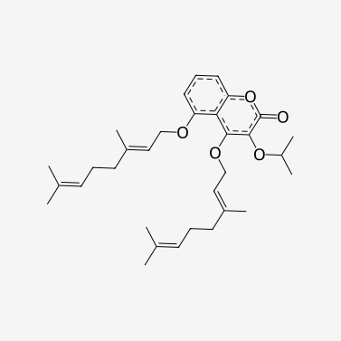 CC(C)=CCC/C(C)=C/COc1cccc2oc(=O)c(OC(C)C)c(OC/C=C(\C)CCC=C(C)C)c12